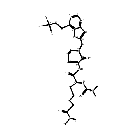 CN(C)C(=O)CCCC[C@H](OC(=O)N(C)C)C(=O)Nc1cccn(Cc2cc3ncnc(CCC(F)(F)F)c3[nH]2)c1=O